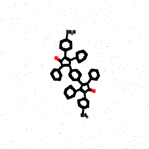 Cc1ccc(C2=C(c3ccccc3)C(c3ccc(C4=C(c5ccccc5)C(=O)C(c5ccc(S(=O)(=O)O)cc5)=C4c4ccccc4)cc3)=C(c3ccccc3)C2=O)cc1